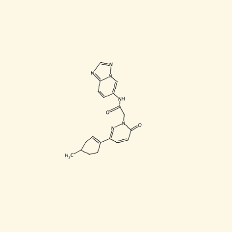 CC1CC=C(c2ccc(=O)n(CC(=O)Nc3ccc4ncnn4c3)n2)CC1